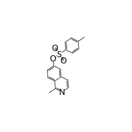 Cc1ccc(S(=O)(=O)Oc2ccc3c(C)nccc3c2)cc1